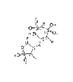 CC1OS(=O)(=O)C(C)C1CC1C(C)S(=O)(=O)OS(=O)(=O)C1C